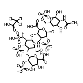 CC(=O)N[C@@H]1[C@@H](O)[C@H](O[C@@H]2O[C@H](C(=O)O)[C@@H](O[C@@H]3O[C@H](CO)[C@@H](O[C@H]4O[C@@H](C(=O)O)[C@H](O)[C@@H](O)[C@@H]4OS(=O)(=O)O)[C@H](OS(=O)(=O)O)[C@H]3NS(=O)(=O)O)[C@H](O)[C@H]2OS(=O)(=O)O)[C@H](COS(=O)(=O)O)O[C@H]1O.O=C(O)C(Cl)(Cl)Cl